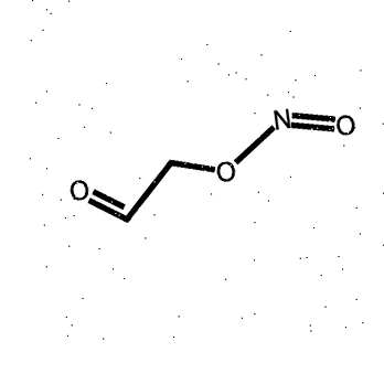 O=CCON=O